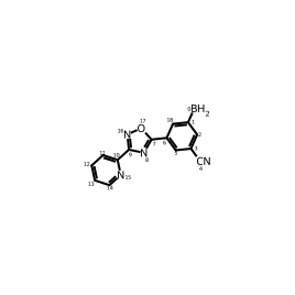 Bc1cc(C#N)cc(-c2nc(-c3ccccn3)no2)c1